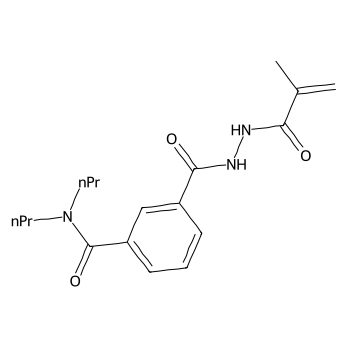 C=C(C)C(=O)NNC(=O)c1cccc(C(=O)N(CCC)CCC)c1